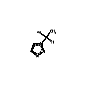 [2H]C([2H])(C)n1ccnn1